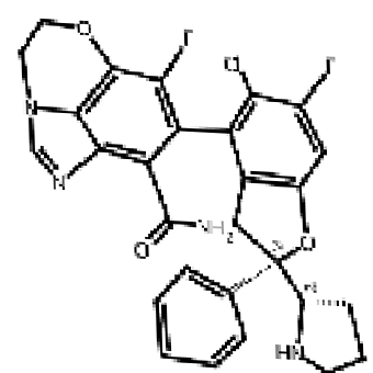 NC(=O)c1c(-c2c(Cl)c(F)cc3c2C[C@](c2ccccc2)([C@@H]2CCCN2)O3)c(F)c2c3c1ncn3CCO2